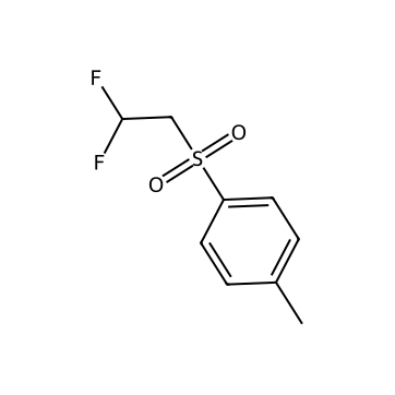 Cc1ccc(S(=O)(=O)CC(F)F)cc1